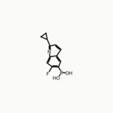 OB(O)c1cc2ccc(C3CC3)nc2cc1F